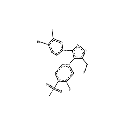 Cc1cc(-c2noc(CF)c2-c2ccc(S(C)(=O)=O)c(F)c2)ccc1Br